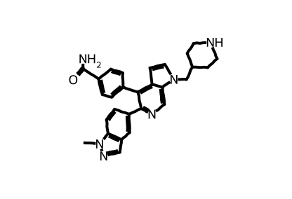 Cn1ncc2cc(-c3ncc4c(ccn4CC4CCNCC4)c3-c3ccc(C(N)=O)cc3)ccc21